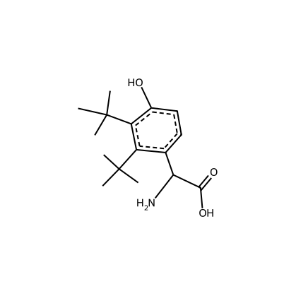 CC(C)(C)c1c(O)ccc(C(N)C(=O)O)c1C(C)(C)C